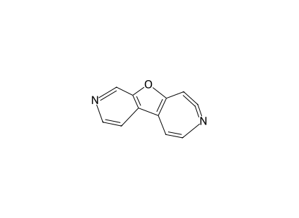 C1=Cc2oc3cnccc3c2C=CN=1